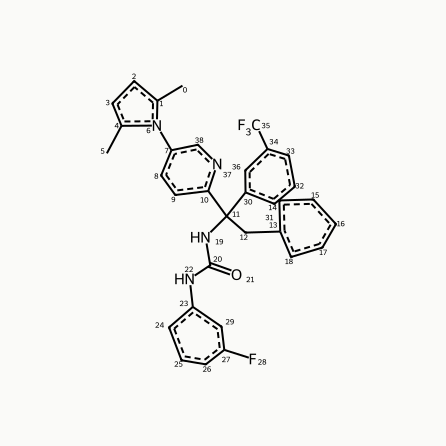 Cc1ccc(C)n1-c1ccc(C(Cc2ccccc2)(NC(=O)Nc2cccc(F)c2)c2cccc(C(F)(F)F)c2)nc1